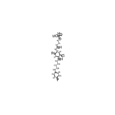 O=[PH](O)OCCCNCc1cc(Cl)c(NCCCCCc2ccc(F)cc2)cc1F